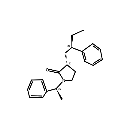 CC[C@H](C[C@@H]1CCN([C@@H](C)c2ccccc2)C1=O)c1ccccc1